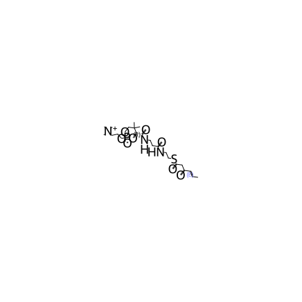 C/C=C/C(=O)CC(=O)SCCNC(=O)CCNC(=O)[C@@H]1OP(=O)(OCC[N+](C)(C)C)OCC1(C)C